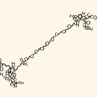 CCCCNC(=O)[C@H](C)NC(=O)[C@H](C)NC(=O)[C@H](CCCCNC(=O)COCCOCCOCCOCCOCCOCCOCCOCCOCCOC(=O)Nc1cc(C[C@@H](C[C@H](C)C(=O)O)NC(=O)OC(C)(C)C)ccc1O)NC(=O)CCCN1C(=O)C=CC1=O